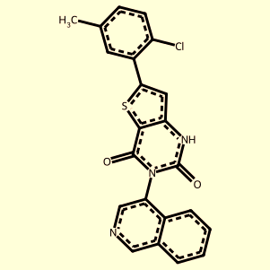 Cc1ccc(Cl)c(-c2cc3[nH]c(=O)n(-c4cncc5ccccc45)c(=O)c3s2)c1